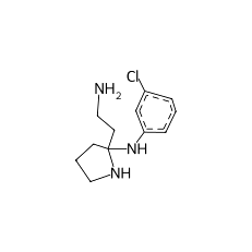 NCCC1(Nc2cccc(Cl)c2)CCCN1